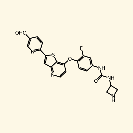 O=Cc1ccc(-c2cc3nccc(Oc4ccc(NC(=O)NC5CNC5)cc4F)c3s2)nc1